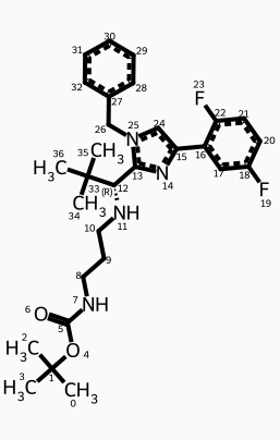 CC(C)(C)OC(=O)NCCCN[C@@H](c1nc(-c2cc(F)ccc2F)cn1Cc1ccccc1)C(C)(C)C